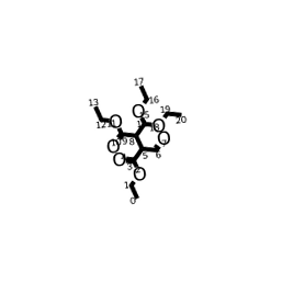 CCOC(=O)C(C=O)C(C(=O)OCC)C(OCC)OCC